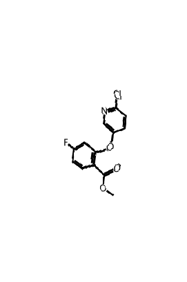 COC(=O)c1ccc(F)cc1Oc1ccc(Cl)nc1